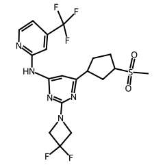 CS(=O)(=O)C1CCC(c2cc(Nc3cc(C(F)(F)F)ccn3)nc(N3CC(F)(F)C3)n2)C1